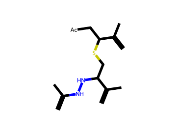 C=C(C)NNC(CSC(CC(C)=O)C(=C)C)C(=C)C